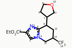 CCOC(=O)c1cn2c(n1)C(C1CCOC1)CC(C(F)(F)F)C2